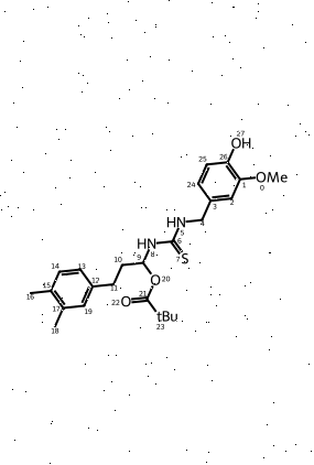 COc1cc(CNC(=S)NC(CCc2ccc(C)c(C)c2)OC(=O)C(C)(C)C)ccc1O